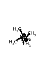 CC=CCCc1ccccc1N=C(C#CCCC)C(CCCC)=Nc1ccccc1CCC=CC.[Ni]